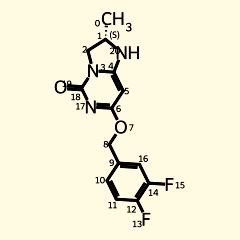 C[C@H]1Cn2c(cc(OCc3ccc(F)c(F)c3)nc2=O)N1